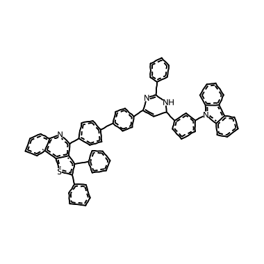 C1=C(c2ccc(-c3ccc(-c4nc5ccccc5c5sc(-c6ccccc6)c(-c6ccccc6)c45)cc3)cc2)N=C(c2ccccc2)NC1c1cccc(-n2c3ccccc3c3ccccc32)c1